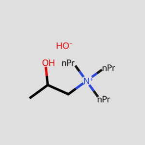 CCC[N+](CCC)(CCC)CC(C)O.[OH-]